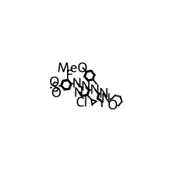 COc1ccc(CN(c2cc(C)n(C3CCCCO3)n2)c2nc(N(C)c3ccc(S(C)(=O)=O)cc3F)nc(Cl)c2C2CC2)cc1